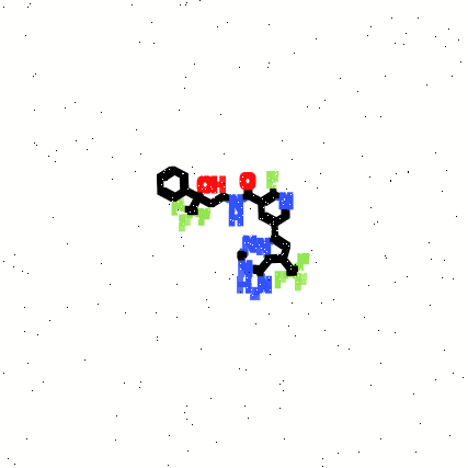 Nc1ncnn2c(-c3cnc(F)c(C(=O)NCCC(O)(c4ccccc4)C(F)(F)F)c3)cc(C(F)(F)F)c12